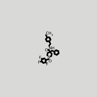 CCc1ccc(CCNC(=O)C2(Cc3ccccc3)CCN(C(=O)c3cc(F)c(F)cc3F)CC2)cc1